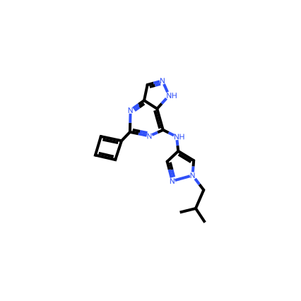 CC(C)Cn1cc(Nc2nc(C3=CC=C3)nc3cn[nH]c23)cn1